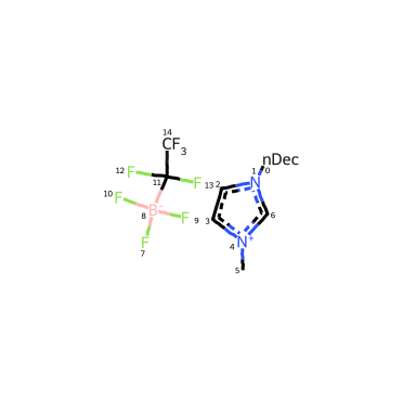 CCCCCCCCCCn1cc[n+](C)c1.F[B-](F)(F)C(F)(F)C(F)(F)F